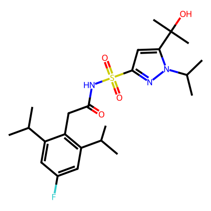 CC(C)c1cc(F)cc(C(C)C)c1CC(=O)NS(=O)(=O)c1cc(C(C)(C)O)n(C(C)C)n1